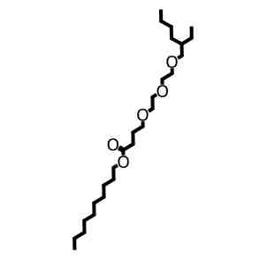 CCCCCCCCCCOC(=O)CCCOCCOCCOCC(CC)CCCC